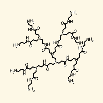 NCCNC(=O)CCN(CCNC(=O)CCN(CCC(=O)NCCN(CCC(=O)NCCN)CCC(=O)NCCN)CCN(CCC(=O)NCCN(CCC(=O)NCCN)CCC(=O)NCCN)CCC(=O)NCCN(CCC(=O)NCCN)CCC(=O)ONCN)CCC(=O)CNCN